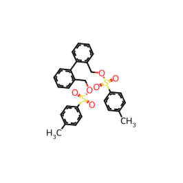 Cc1ccc(S(=O)(=O)OCc2ccccc2-c2ccccc2COS(=O)(=O)c2ccc(C)cc2)cc1